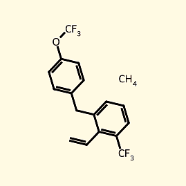 C.C=Cc1c(Cc2ccc(OC(F)(F)F)cc2)cccc1C(F)(F)F